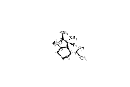 C=C(C)[C@@](C)(F)C1[C@H](C(C)O)C=CC[C@@H]1C